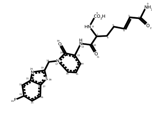 NC(=O)/C=C/CCC(NC(=O)O)C(=O)Nc1cccn(Cc2nc3cc(F)ccc3s2)c1=O